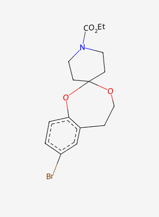 CCOC(=O)N1CCC2(CC1)OCCc1cc(Br)ccc1O2